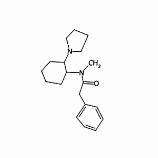 CN(C(=O)Cc1ccccc1)C1CCCCC1N1CCCC1